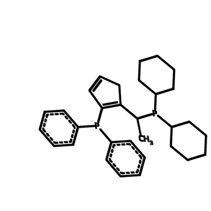 CC(C1=C(P(c2ccccc2)c2ccccc2)C=CC1)P(C1CCCCC1)C1CCCCC1